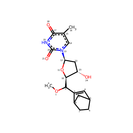 COC(C1=CC2CCC1C2)[C@H]1O[C@@H](n2cc(C)c(=O)[nH]c2=O)C[C@@H]1O